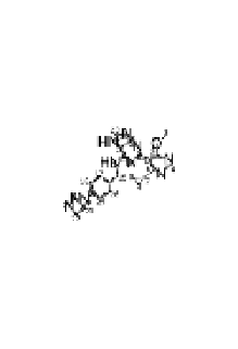 COc1ncnc(C2CC2)c1-c1nc(NCc2ccc(-n3ccnn3)cc2)c2[nH]cnc2n1